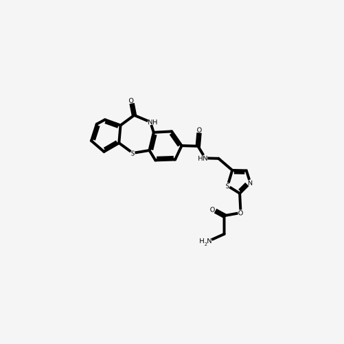 NCC(=O)Oc1ncc(CNC(=O)c2ccc3c(c2)NC(=O)c2ccccc2S3)s1